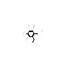 C=CCc1c(F)c(F)c(OC)c(F)c1C(=O)O